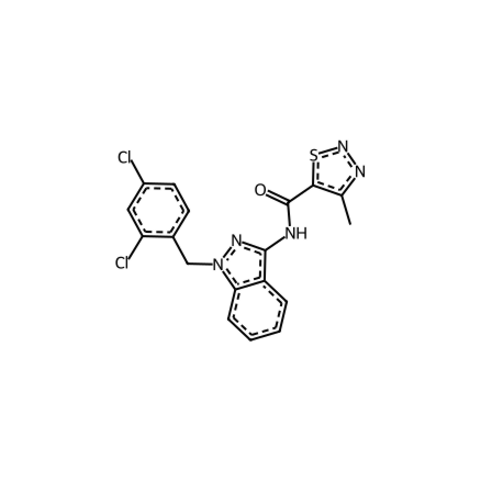 Cc1nnsc1C(=O)Nc1nn(Cc2ccc(Cl)cc2Cl)c2ccccc12